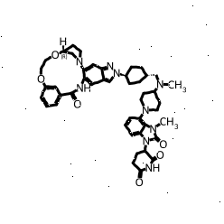 CN(C[C@H]1CC[C@H](n2cc3cc4c(cc3n2)N2CC[C@H](C2)OCCOc2cccc(c2)C(=O)N4)CC1)C1CCN(c2cccc3c2n(C)c(=O)n3C2CCC(=O)NC2=O)CC1